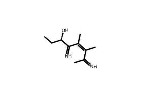 CC[C@@H](O)C(=N)/C(C)=C(/C)C(C)=N